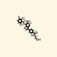 C[C@@H](Oc1c(N)ncc2c(-c3ccc(C(=O)NCCO)cc3)coc12)c1c(Cl)ccc(F)c1Cl